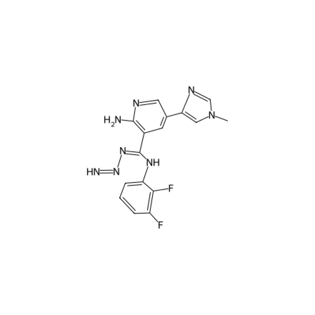 Cn1cnc(-c2cnc(N)c(/C(=N/N=N)Nc3cccc(F)c3F)c2)c1